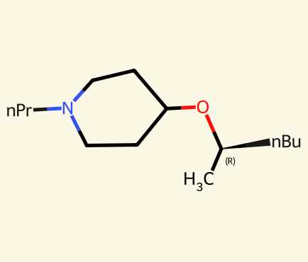 CCCC[C@@H](C)OC1CCN(CCC)CC1